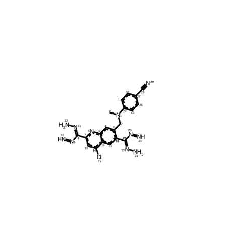 CN(Cc1cc2nc(C(N=N)=NN)cc(Cl)c2cc1C(N=N)=NN)c1ccc(C#N)cc1